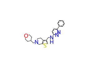 c1ccc(-c2ccc(NCc3csc4c3CCN(CC3CCOCC3)C4)nn2)cc1